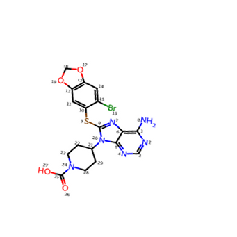 Nc1ncnc2c1nc(Sc1cc3c(cc1Br)OCO3)n2C1CCN(C(=O)O)CC1